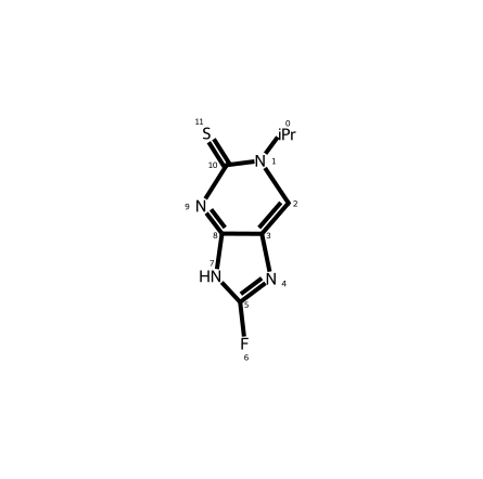 CC(C)n1cc2nc(F)[nH]c2nc1=S